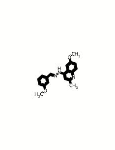 COc1cccc(C=NNc2cc(C)nc3ccc(OC)cc23)c1